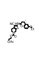 CCOc1cccc([C@@H](C)CC(=O)Nc2sc3c(c2C#N)CCN(C(=O)OCCOC(C)=O)C3)c1